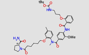 COc1cc(C(=O)N(C)c2ccc(C)cc2OCCCCCC(=O)N2CCC[C@H]2C(N)=O)ccc1NC(=O)c1ccccc1OCCCNC(=O)OC(C)(C)C